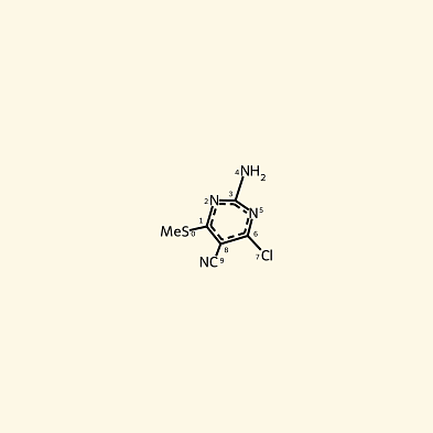 CSc1nc(N)nc(Cl)c1C#N